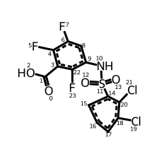 O=C(O)c1c(F)c(F)cc(NS(=O)(=O)c2cccc(Cl)c2Cl)c1F